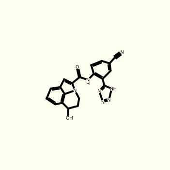 N#Cc1ccc(NC(=O)c2cc3cccc4c3n2CCC4O)c(-c2nnn[nH]2)c1